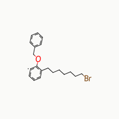 BrCCCCCCCc1ccc[c]c1OCc1ccccc1